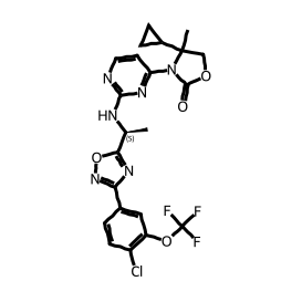 C[C@H](Nc1nccc(N2C(=O)OCC2(C)C2CC2)n1)c1nc(-c2ccc(Cl)c(OC(F)(F)F)c2)no1